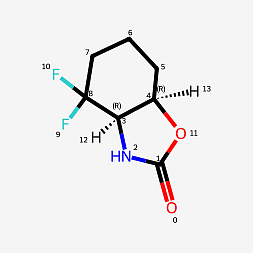 O=C1N[C@@H]2[C@@H](CCCC2(F)F)O1